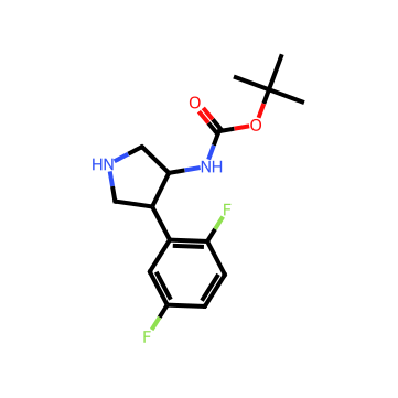 CC(C)(C)OC(=O)NC1CNCC1c1cc(F)ccc1F